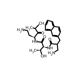 CC(C)C(=O)[C@H](CCN)NC(=O)[C@@H](NC(=O)C(CN)Cc1ccc2ccccc2c1)[C@H](C)O